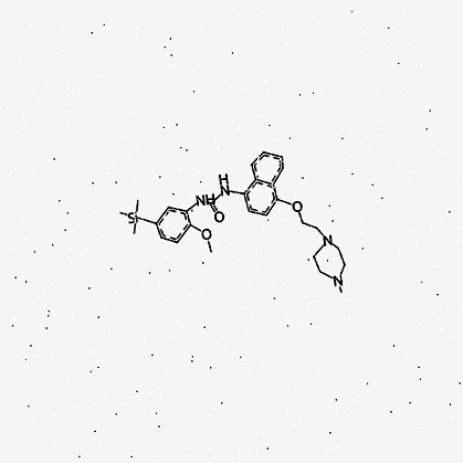 COc1ccc([Si](C)(C)C)cc1NC(=O)Nc1ccc(OCCN2CCN(C)CC2)c2ccccc12